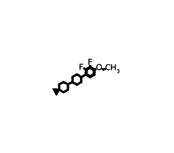 CCOc1ccc(C2CCC(C3CCC4(C=C4)CC3)CC2)c(F)c1F